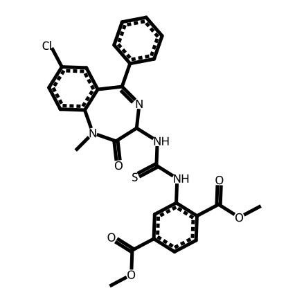 COC(=O)c1ccc(C(=O)OC)c(NC(=S)NC2N=C(c3ccccc3)c3cc(Cl)ccc3N(C)C2=O)c1